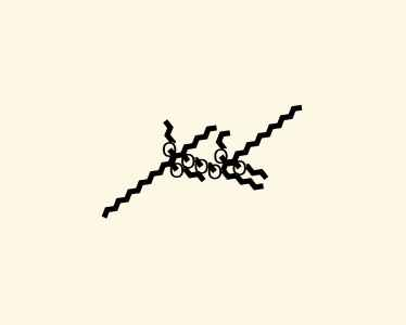 CCCCCCCCCCCCC(OCCCC)=C(OCCCC)C(CCCCCC)OCOCOC(CCCCCC)C(OCCCC)=C(CCCCCCCCCCCC)OCCCC